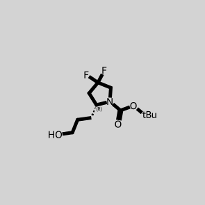 CC(C)(C)OC(=O)N1CC(F)(F)C[C@H]1CCCO